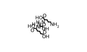 NC(CCCC(=O)O)C(=O)O.NCC(=O)O.NCCCC(N)C(=O)O